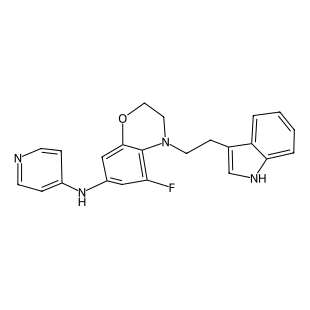 Fc1cc(Nc2ccncc2)cc2c1N(CCc1c[nH]c3ccccc13)CCO2